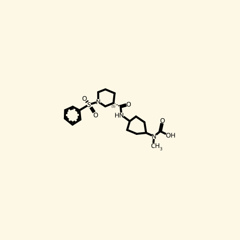 CN(C(=O)O)C1CCC(NC(=O)[C@H]2CCCN(S(=O)(=O)c3ccccc3)C2)CC1